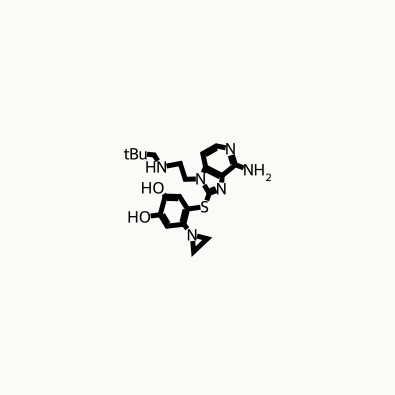 CC(C)(C)CNCCn1c(Sc2cc(O)c(O)cc2N2CC2)nc2c(N)nccc21